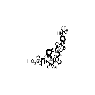 CC[C@@H](C)[C@@H]([C@@H](CC(=O)N1CCC[C@H]1[C@H](OC)[C@@H](C)C(=O)N[C@@H](Cc1ccccc1)C(=O)NS(=O)(=O)Cc1ccc(NC(=O)C(F)(F)F)cc1)OC)N(C)C(=O)[C@@H](NC(=O)O)C(C)C